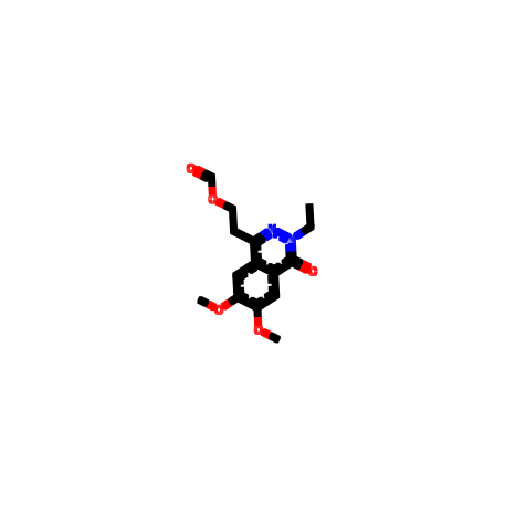 CCn1nc(CCOC=O)c2cc(OC)c(OC)cc2c1=O